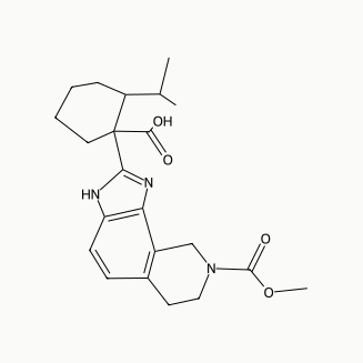 COC(=O)N1CCc2ccc3[nH]c(C4(C(=O)O)CCCCC4C(C)C)nc3c2C1